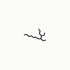 CCCCCCCC(CC)C(CC)CCC